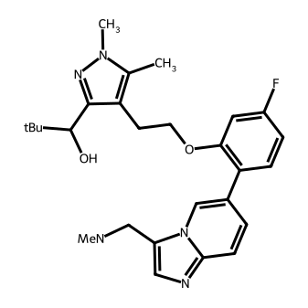 CNCc1cnc2ccc(-c3ccc(F)cc3OCCc3c(C(O)C(C)(C)C)nn(C)c3C)cn12